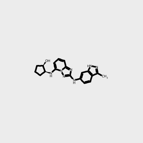 Cc1n[nH]c2cc(Nc3nc4cccc(N[C@H]5CCC[C@H]5O)n4n3)ccc12